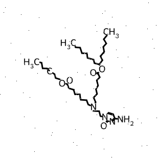 CCCCCCCCOC(=O)CCCCCCCN(CCCCCCCC(=O)OC(CCCCCCCC)CCCCCCCC)CCCn1ccc(N)nc1=O